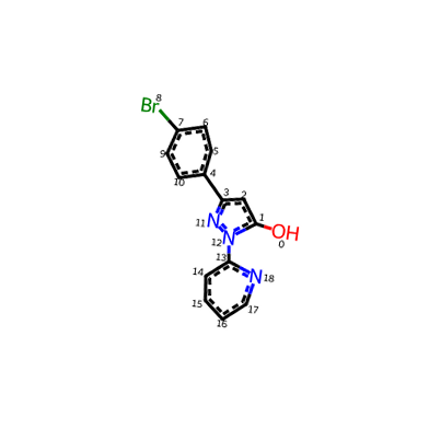 Oc1cc(-c2ccc(Br)cc2)nn1-c1ccccn1